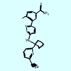 N#Cc1cccc(C2(Nc3ccc(-c4cc(C(N)=O)ccc4F)nn3)CCC2)n1